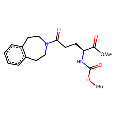 COC(=O)[C@H](CCC(=O)N1CCc2ccccc2CC1)NC(=O)OC(C)(C)C